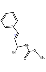 CCC(C)C(/C=C/c1ccccc1)NC(=O)OC(C)(C)C